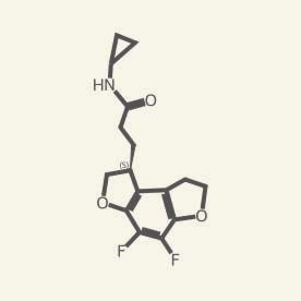 O=C(CC[C@@H]1COc2c(F)c(F)c3c(c21)CCO3)NC1CC1